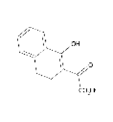 CCOC(=O)C(=O)C1=C(O)c2ccccc2CC1